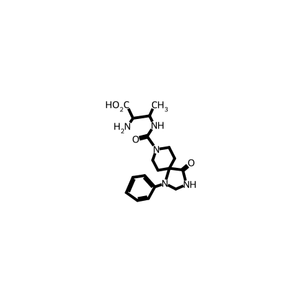 CC(NC(=O)N1CCC2(CC1)C(=O)NCN2c1ccccc1)C(N)C(=O)O